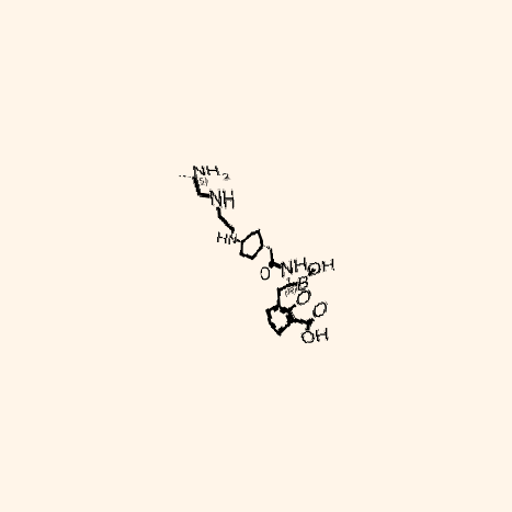 C[C@H](N)CNCCN[C@H]1CC[C@H](CC(=O)N[C@H]2Cc3cccc(C(=O)O)c3OB2O)CC1